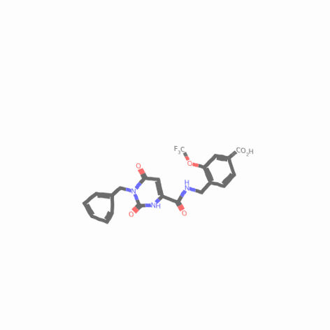 O=C(O)c1ccc(CNC(=O)c2cc(=O)n(Cc3ccccc3)c(=O)[nH]2)c(OC(F)(F)F)c1